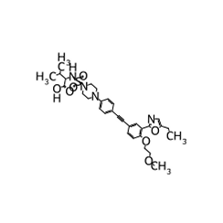 CCc1cnc(-c2cc(C#Cc3ccc(N4CCN(S(=O)(=O)N[C@@H](C(=O)O)C(C)C)CC4)cc3)ccc2OCCOC)o1